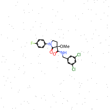 CO[C@]1(C(=O)NCc2cc(Cl)cc(Cl)c2)CCN(c2ccc(F)cc2)C1=O